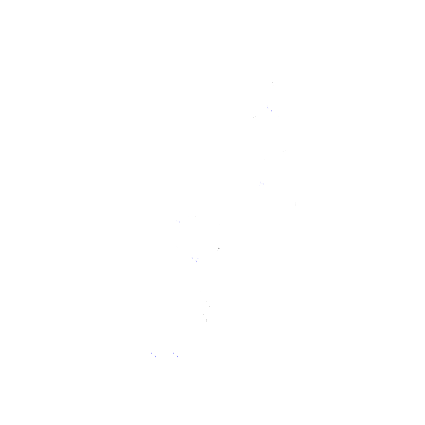 CN(c1ccc2ncn(-c3cc(F)c4nn(C)cc4c3)c(=O)c2c1)C1CCN(C(=O)OC(C)(C)C)CC1